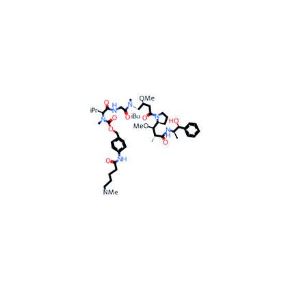 CC[C@H](C)[C@@H]([C@@H](CC(=O)N1CCC[C@H]1[C@H](OC)[C@@H](C)C(=O)N[C@H](C)[C@@H](O)c1ccccc1)OC)N(C)C(=O)CNC(=O)[C@H](C(C)C)N(C)C(=O)OCc1ccc(NC(=O)CCCCNC)cc1